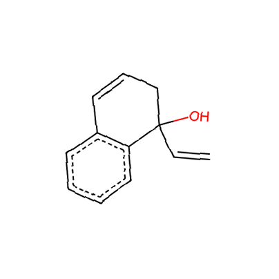 C=CC1(O)CC=Cc2ccccc21